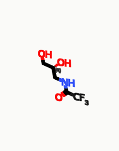 O=C(NC[C@@H](O)CO)C(F)(F)F